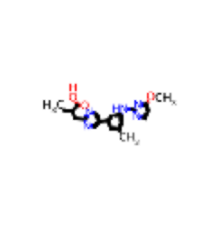 CCC(Cc1ncc(-c2cc(C)cc(Nc3nccc(OC)n3)c2)cn1)C(=O)O